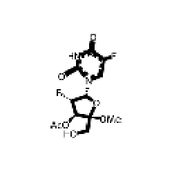 CO[C@]1(CO)O[C@@H](n2cc(F)c(=O)[nH]c2=O)[C@@H](F)[C@@H]1OC(C)=O